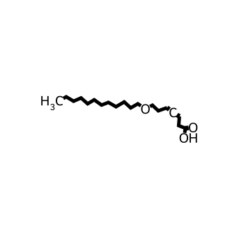 CCCCCCCCCCCCOCCC=C=CCC(=O)O